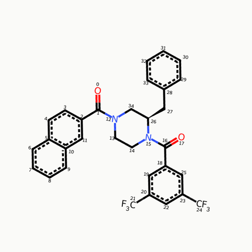 O=C(c1ccc2ccccc2c1)N1CCN(C(=O)c2cc(C(F)(F)F)cc(C(F)(F)F)c2)[C@H](Cc2ccccc2)C1